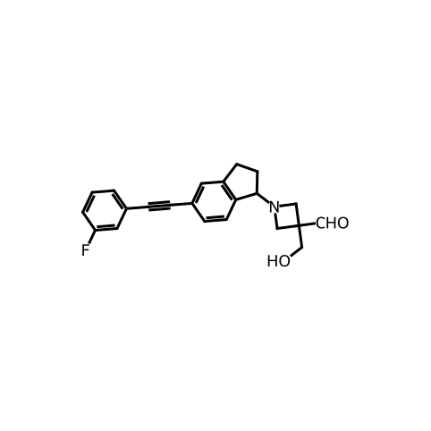 O=CC1(CO)CN(C2CCc3cc(C#Cc4cccc(F)c4)ccc32)C1